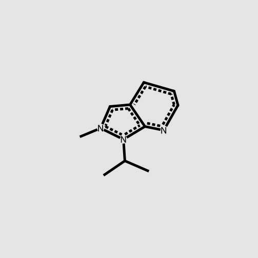 CC(C)n1c2ncccc2c[n+]1C